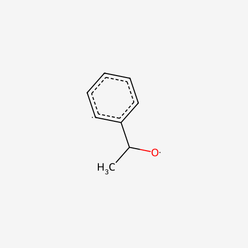 CC([O])c1[c]cccc1